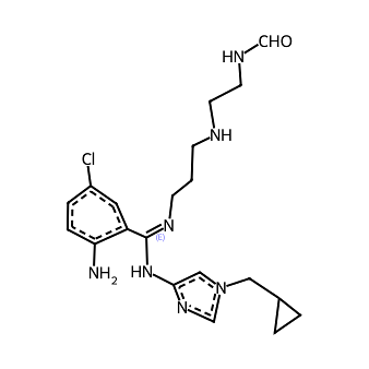 Nc1ccc(Cl)cc1/C(=N\CCCNCCNC=O)Nc1cn(CC2CC2)cn1